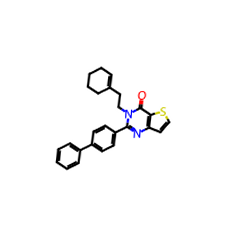 O=c1c2sccc2nc(-c2ccc(-c3ccccc3)cc2)n1CCC1=CCCCC1